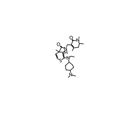 CCN(C1=C(C)C(C)(C(=O)NCC2=C(C)CC(C)N(C)C2=O)C=CS1)C1CCC(N(C)C)CC1